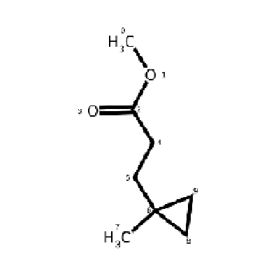 COC(=O)CCC1(C)CC1